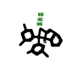 CC1=Cc2ccccc2[C]1([Ti])[Si](C)(c1cc(C)cc(C)c1)c1cc(C)cc(C)c1.Cl.Cl.Cl